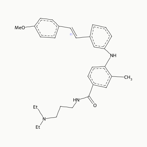 CCN(CC)CCCNC(=O)c1ccc(Nc2cccc(/C=C/c3ccc(OC)cc3)c2)c(C)c1